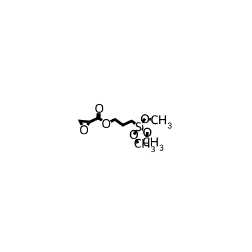 CO[Si](CCCOC(=O)C1CO1)(OC)OC